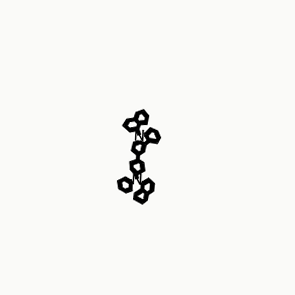 c1ccc(N(c2ccc(-c3ccc4c(c3)c3ccccc3n4-c3cccc4ccccc34)cc2)c2cccc3ccccc23)cc1